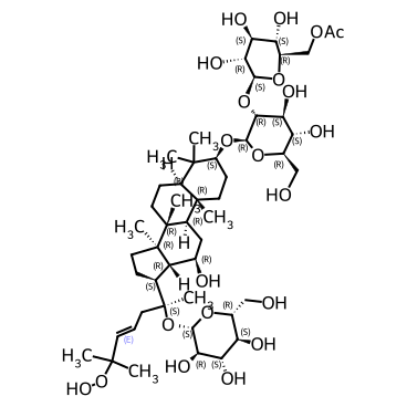 CC(=O)OC[C@H]1O[C@@H](O[C@H]2[C@H](O[C@H]3CC[C@]4(C)[C@H]5C[C@@H](O)[C@@H]6[C@@H]([C@](C)(C/C=C/C(C)(C)OO)O[C@@H]7O[C@H](CO)[C@@H](O)[C@H](O)[C@H]7O)CC[C@@]6(C)[C@]5(C)CC[C@H]4C3(C)C)O[C@H](CO)[C@@H](O)[C@@H]2O)[C@H](O)[C@@H](O)[C@@H]1O